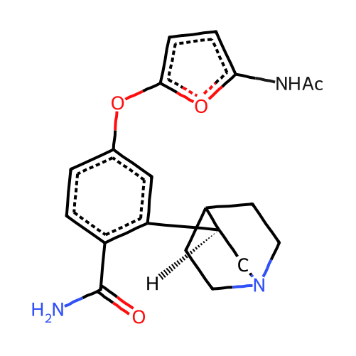 CC(=O)Nc1ccc(Oc2ccc(C(N)=O)c([C@@H]3CN4CCC3CC4)c2)o1